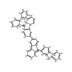 C1=CC2c3cc(-c4ccc5c(c4)c4ccccc4n5-c4ccc5c(c4)sc4ccccc45)ccc3N(c3ccccc3-c3ccccc3)C2C=C1